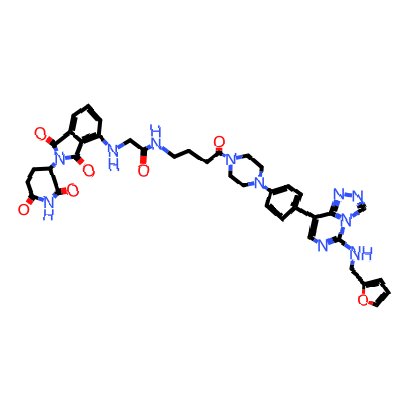 O=C(CNc1cccc2c1C(=O)N(C1CCC(=O)NC1=O)C2=O)NCCCC(=O)N1CCN(c2ccc(-c3cnc(NCc4ccco4)n4cnnc34)cc2)CC1